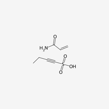 C=CC(N)=O.CCC#CS(=O)(=O)O